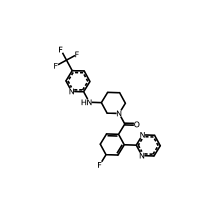 O=C(C1=CCC(F)C=C1c1ncccn1)N1CCCC(Nc2ccc(C(F)(F)F)cn2)C1